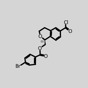 O=C(Cl)c1ccc2c(c1)CCO[C@@H]2COC(=O)c1ccc(Br)cc1